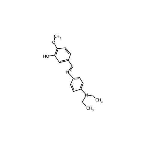 CCN(CC)c1ccc(/N=C/c2ccc(OC)c(O)c2)cc1